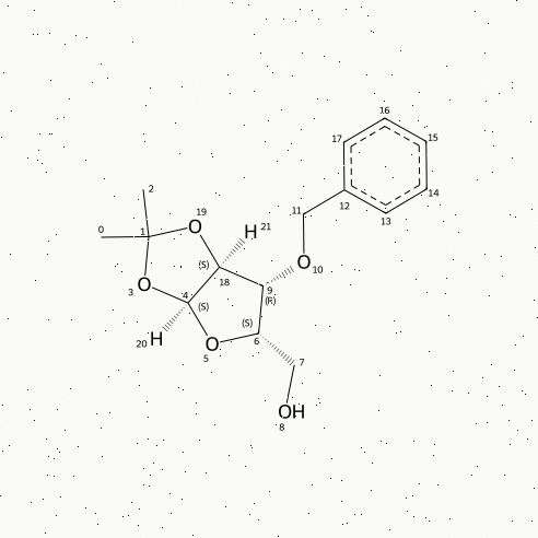 CC1(C)O[C@@H]2O[C@@H](CO)[C@@H](OCc3ccccc3)[C@@H]2O1